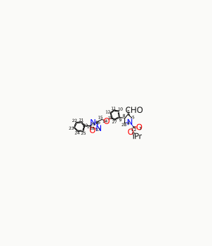 CC(C)OC(=O)N1CC(C=O)[C@H](c2cccc(OCc3noc(-c4ccccc4)n3)c2)C1